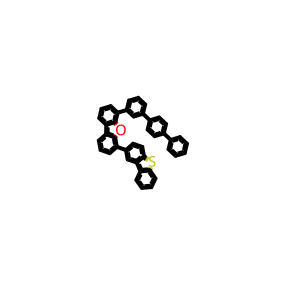 c1ccc(-c2ccc(-c3cccc(-c4cccc5c4oc4c(-c6ccc7sc8ccccc8c7c6)cccc45)c3)cc2)cc1